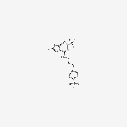 Cc1cc2c(NCCCc3ccc(S(C)(=O)=O)cc3)nc(C(F)(F)F)nc2s1